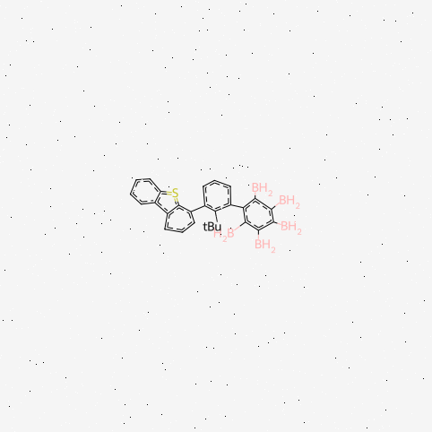 Bc1c(B)c(B)c(-c2cccc(-c3cccc4c3sc3ccccc34)c2C(C)(C)C)c(B)c1B